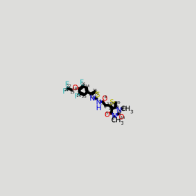 Cn1c(=O)c2c(CC(=O)Nc3nc(-c4cc(F)c(OCC(F)F)c(F)c4)cs3)scc2n(C)c1=O